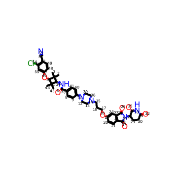 CC1(C)C(NC(=O)c2ccc(N3CCN(CCCOc4ccc5c(c4)C(=O)N(C4CCC(=O)NC4=O)C5=O)CC3)cc2)C(C)(C)C1Oc1ccc(C#N)c(Cl)c1